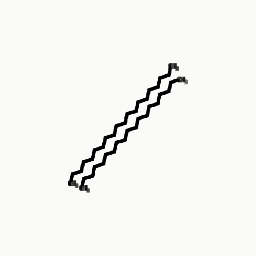 CCCCCCCCCCCCCCCCCCC.CCCCCCCCCCCCCCCCCCCC